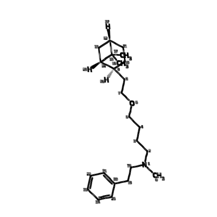 CN(CCCCOCC[C@@H]1CC[C@H]2C[C@@H]1C2(C)C)CCc1ccccc1